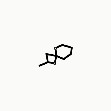 CC1CC2(CCCCO2)O1